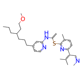 C=C(Nc1cc(CCCC(CCC)CCOC)ccn1)Sc1nc(C(/C=N\C)=C(C)C)ccc1C